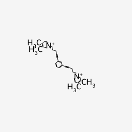 Cc1cc[n+](CCCC#Cc2cccc(C#CCCC[n+]3ccc(C)c(C)c3)c2)cc1C